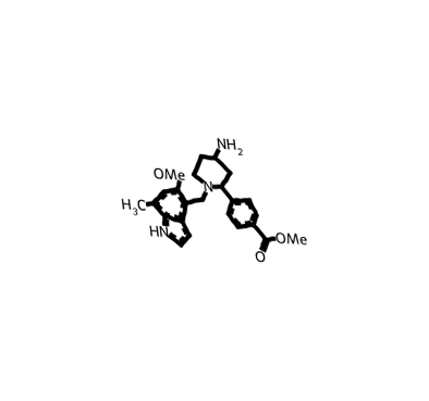 COC(=O)c1ccc(C2CC(N)CCN2Cc2c(OC)cc(C)c3[nH]ccc23)cc1